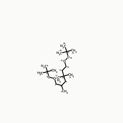 CC(COOC(C)(C)C)CC(C)(C)CCOOC(C)(C)C